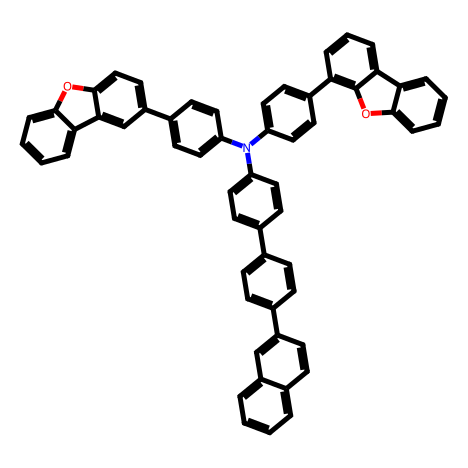 c1ccc2cc(-c3ccc(-c4ccc(N(c5ccc(-c6ccc7oc8ccccc8c7c6)cc5)c5ccc(-c6cccc7c6oc6ccccc67)cc5)cc4)cc3)ccc2c1